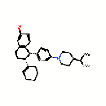 COC(OC)C1CCN(c2ccc([C@H]3c4ccc(O)cc4CC[C@H]3C3=CCCCC3)cc2)CC1